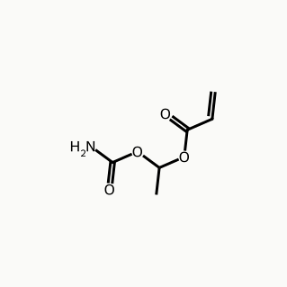 C=CC(=O)OC(C)OC(N)=O